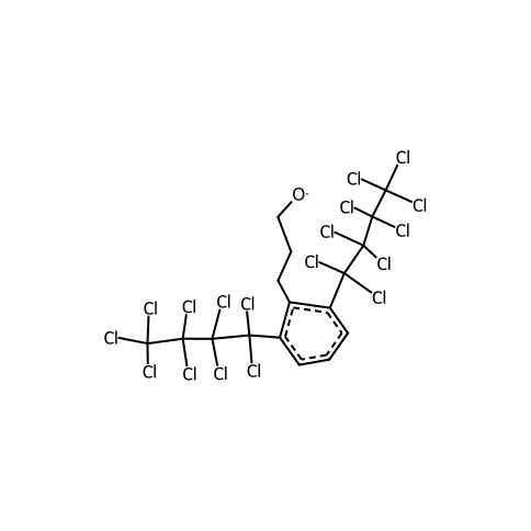 [O]CCCc1c(C(Cl)(Cl)C(Cl)(Cl)C(Cl)(Cl)C(Cl)(Cl)Cl)cccc1C(Cl)(Cl)C(Cl)(Cl)C(Cl)(Cl)C(Cl)(Cl)Cl